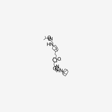 COc1cc(Cc2nc(CNC34CC5CC(CC(C5)C3)C4)no2)ccc1CCC1C2CC3CC1CC(NCc1cc(C(C)C)on1)(C3)C2